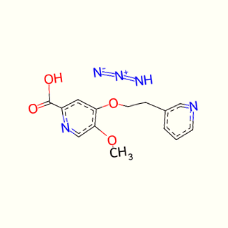 COc1cnc(C(=O)O)cc1OCCc1cccnc1.[N-]=[N+]=N